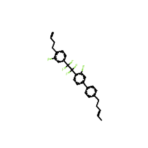 C=CCCc1ccc(C(F)(F)C(F)(F)c2ccc(-c3ccc(CC/C=C/C)cc3)cc2F)cc1F